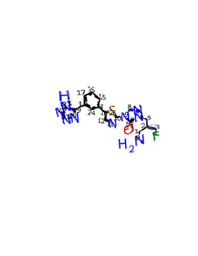 NC/C(=C\F)Cn1ncn(-c2ncc(-c3cccc(-c4nnn[nH]4)c3)s2)c1=O